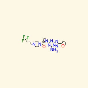 Nc1nc(N2CC[C@H]2C(=O)N2CCN(CCCC(F)(F)F)CC2)nc2nc(-c3ccco3)nn12